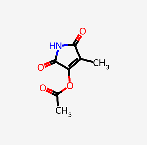 CC(=O)OC1=C(C)C(=O)NC1=O